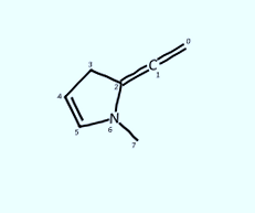 C=C=C1CC=CN1C